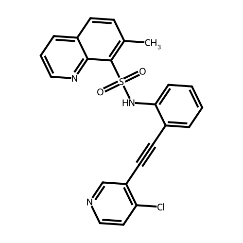 Cc1ccc2cccnc2c1S(=O)(=O)Nc1ccccc1C#Cc1cnccc1Cl